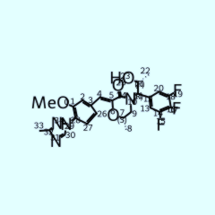 COc1cc(C=C2O[C@@H](C)CN([C@H](c3cc(F)c(F)c(F)c3)[C@@H](C)O)C2=O)ccc1-n1cnc(C)n1